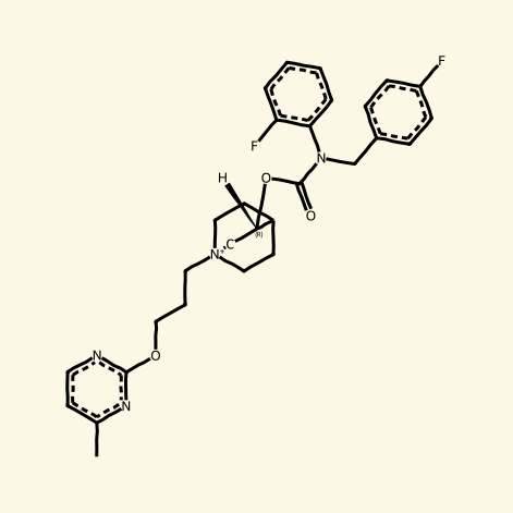 Cc1ccnc(OCCC[N+]23CCC(CC2)[C@@H](OC(=O)N(Cc2ccc(F)cc2)c2ccccc2F)C3)n1